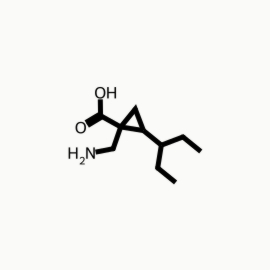 CCC(CC)C1CC1(CN)C(=O)O